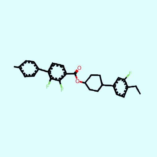 CCc1ccc(C2CCC(OC(=O)c3ccc(-c4ccc(C)cc4)c(F)c3F)CC2)cc1F